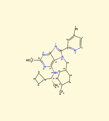 CC(C)c1ccnc(-c2nc3nc(C(=O)O)nc(N[C@H](C)C4CCC4)c3n2CC2CCC(C(F)(F)F)CC2)c1